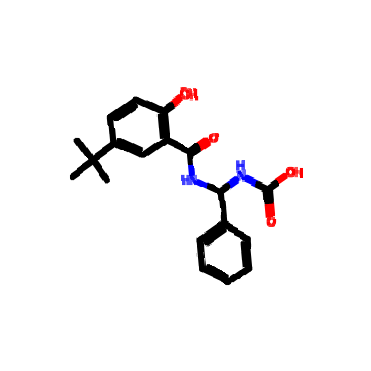 CC(C)(C)c1ccc(O)c(C(=O)NC(NC(=O)O)c2ccccc2)c1